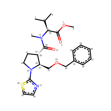 COC(=O)[C@H](C(C)C)N(C)C(=O)[C@H]1CCN(c2nccs2)[C@@H]1COCc1ccccc1